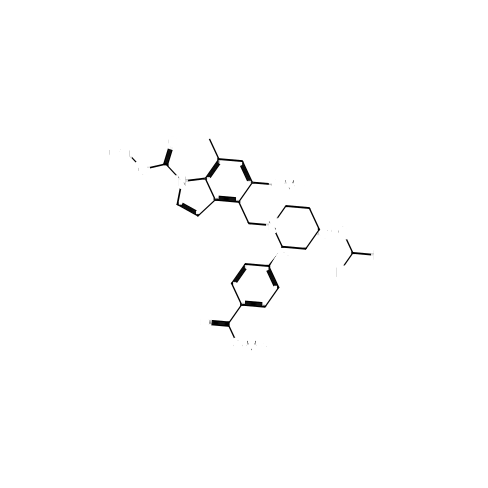 COC(=O)c1ccc([C@@H]2C[C@@H](OC(F)F)CCN2Cc2c(OC)cc(C)c3c2ccn3C(=O)OC(C)(C)C)cc1